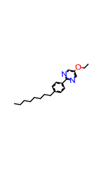 CCCCCCCCc1ccc(-c2ncc(OCC)cn2)cc1